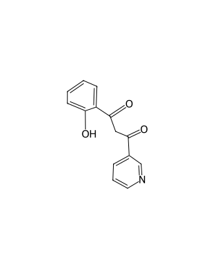 O=C(CC(=O)c1ccccc1O)c1cccnc1